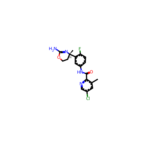 Cc1cc(Cl)cnc1C(=O)Nc1ccc(F)c([C@]2(C)CCOC(N)=N2)c1